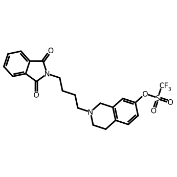 O=C1c2ccccc2C(=O)N1CCCCN1CCc2ccc(OS(=O)(=O)C(F)(F)F)cc2C1